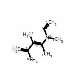 C=CN(C)/C(C)=C(\C)C(=C)P